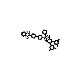 Cc1cc(C)cc(-c2cc3nc(-c4ccccc4)c(-c4ccc(-c5ccc(-c6nc7ccccc7o6)cc5)cc4)nc3cc2-c2cc(C)cc(C)c2)c1